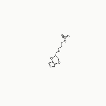 O=[SH](=O)OCCCOCC1COc2cscc2O1